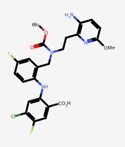 COc1ccc(N)c(CCN(Cc2cc(F)ccc2Nc2cc(Cl)c(F)cc2C(=O)O)C(=O)OC(C)(C)C)n1